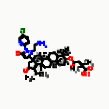 CC(C)C1=C2[C@H]3CC[C@@H]4[C@@]5(C)CC[C@H](OC(=O)CC(C)(C)C(=O)O)C(C)(C)[C@@H]5CC[C@@]4(C)[C@]3(C)CC[C@@]2(c2cc(=O)n(-c3ccc(Cl)cn3)n2CCN)CC1=O